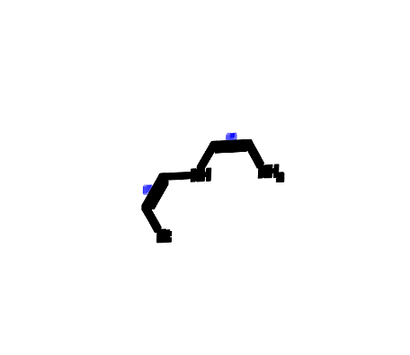 CC/C=C\N/C=C\N